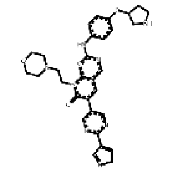 O=c1c(-c2cnc(C3=CCN=C3)nc2)cc2cnc(Nc3ccc(OC4CCNC4)cc3)nc2n1CCN1CCOCC1